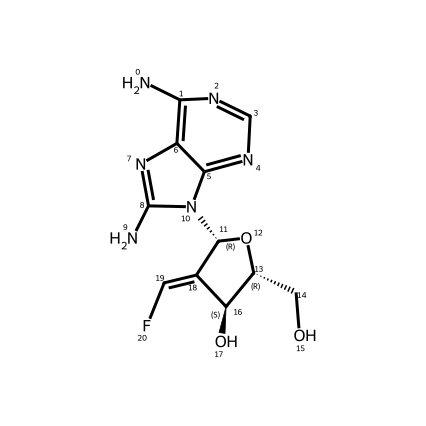 Nc1ncnc2c1nc(N)n2[C@@H]1O[C@H](CO)[C@@H](O)C1=CF